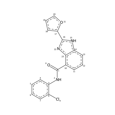 O=C(Nc1ccccc1Cl)c1cccc2[nH]c(-c3ccco3)nc12